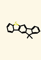 CC1(C)c2ccccc2-c2cc3c(cc21)C1C=CC=CC1S3